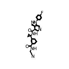 N#CCNC(=O)c1cccc(C2(NC(=O)c3cncc4c3cnn4-c3ccc(F)cc3)CC2)c1